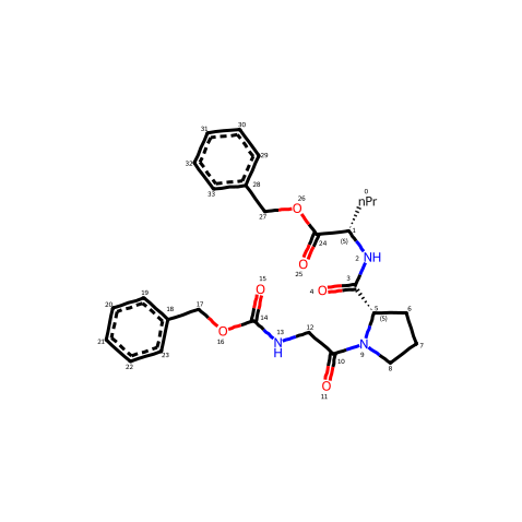 CCC[C@H](NC(=O)[C@@H]1CCCN1C(=O)CNC(=O)OCc1ccccc1)C(=O)OCc1ccccc1